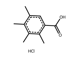 Cc1cc(C(=O)O)c(C)c(C)c1C.Cl